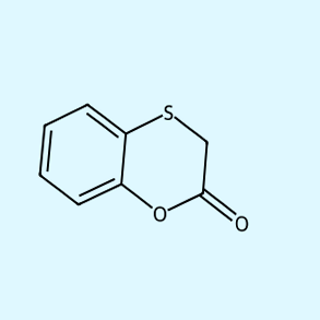 O=C1CSc2ccccc2O1